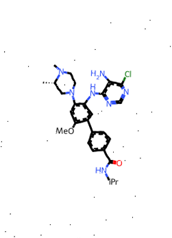 COc1cc(N2CCN(C)[C@@H](C)C2)c(Nc2ncnc(Cl)c2N)cc1-c1ccc(C(=O)NC(C)C)cc1